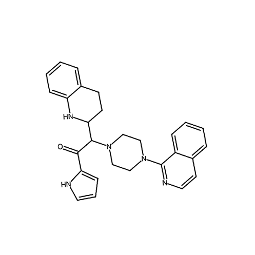 O=C(c1ccc[nH]1)C(C1CCc2ccccc2N1)N1CCN(c2nccc3ccccc23)CC1